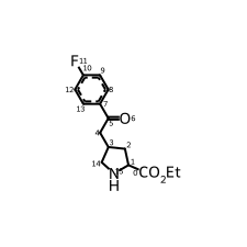 CCOC(=O)C1CC(CC(=O)c2ccc(F)cc2)CN1